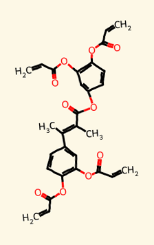 C=CC(=O)Oc1ccc(OC(=O)/C(C)=C(\C)c2ccc(OC(=O)C=C)c(OC(=O)C=C)c2)cc1OC(=O)C=C